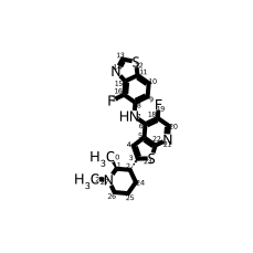 C[C@H]1[C@H](c2cc3c(Nc4ccc5scnc5c4F)c(F)cnc3s2)CCCN1C